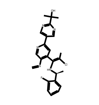 C=Nc1cnc(-c2cnc(C(C)(C)O)nc2)cc1/C(N[C@@H](C)c1ccccc1F)=C(\C)Cl